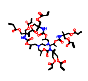 C=CC(=O)OCC(C)(COC(=O)C=C)NC(=O)OC(C)CN(CCN(CC(C)OC(=O)NC(C)(COC(=O)C=C)COC(=O)C=C)CC(C)OC(=O)NC(C)(COC(=O)C=C)COC(=O)C=C)CC(C)OC(=O)NC(C)(COC(=O)C=C)COC(=O)C=C